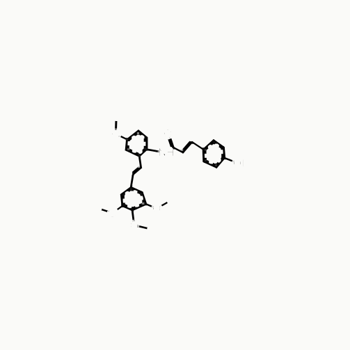 COc1ccc(NC(=O)/C=C/c2ccc(O)cc2)c(C=Cc2cc(OC)c(OC)c(OC)c2)c1